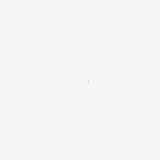 O=C(c1ccccn1)c1ccccn1.O=Cc1cccs1